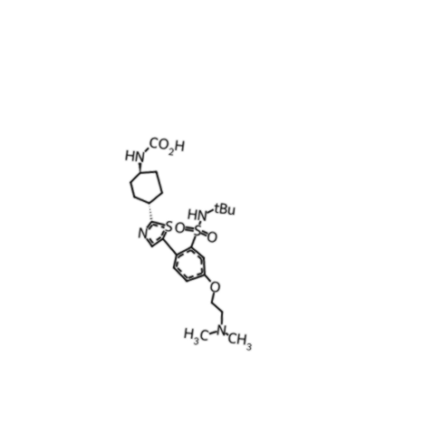 CN(C)CCOc1ccc(-c2cnc([C@H]3CC[C@H](NC(=O)O)CC3)s2)c(S(=O)(=O)NC(C)(C)C)c1